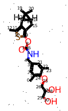 Cc1cc(CNC(=O)Oc2sc(C)c3c2C[C@@H]2[C@H]3C2(C)C)cc(C)c1OC[C@@H](O)CO